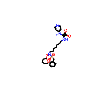 O=c1c(NCCCCCCCN(OC2CCCCO2)S(=O)(=O)Cc2ccccc2)c(Nc2ccncc2)c1=O